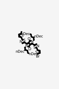 CCCCCCCCCCCCC(CCCCCCCCCC)CN1C(=O)C2=C(c3cnc(-c4ccc(Br)s4)s3)N(CC(CCCCCCCCCC)CCCCCCCCCCCC)C(=O)C2=C1c1cnc(-c2ccc(C)s2)s1